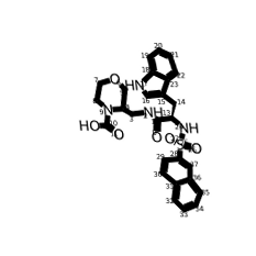 O=C(NCC1COCCN1C(=O)O)[C@@H](Cc1c[nH]c2ccccc12)NS(=O)(=O)c1ccc2ccccc2c1